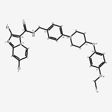 CCc1nc2cc(Cl)ccn2c1C(=O)NCc1ccc(N2CCC(Oc3ccc(OCF)cc3)CC2)cc1